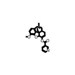 COc1ccc2c3c1OC1C(OC(=O)c4cccnc4)=CCC4C(C2)N(C)CCC314